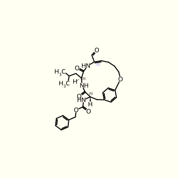 CC(C)C[C@@H]1NC(=O)[C@@H](NC(=O)OCc2ccccc2)Cc2ccc(cc2)OCCC/C=C(/C=O)NC1=O